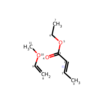 C/C=C/C(=O)OCC.C=COC